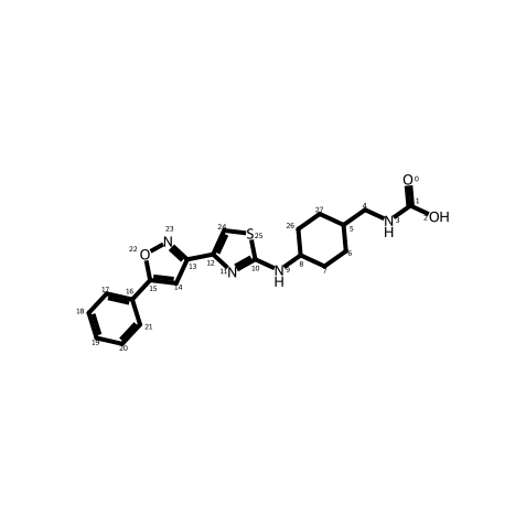 O=C(O)NCC1CCC(Nc2nc(-c3cc(-c4ccccc4)on3)cs2)CC1